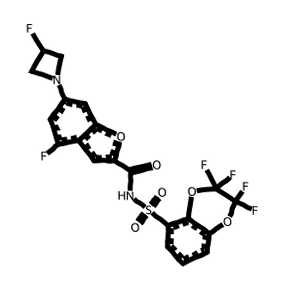 O=C(NS(=O)(=O)c1cccc2c1OC(F)(F)C(F)(F)O2)c1cc2c(F)cc(N3CC(F)C3)cc2o1